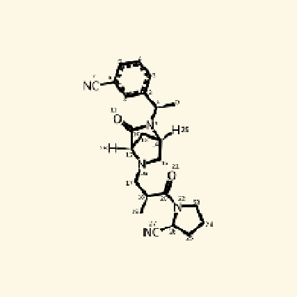 C[C@H](c1cccc(C#N)c1)N1C(=O)[C@@H]2C[C@H]1CN2C[C@H](C)C(=O)N1CCC[C@H]1C#N